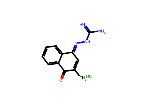 CC1=CC(=NNC(=N)N)c2ccccc2C1=O.Cl